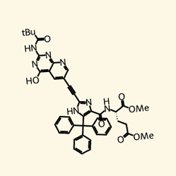 COC(=O)CC[C@H](NC(=O)c1nc(C#Cc2cnc3nc(NC(=O)C(C)(C)C)nc(O)c3c2)[nH]c1C(c1ccccc1)(c1ccccc1)c1ccccc1)C(=O)OC